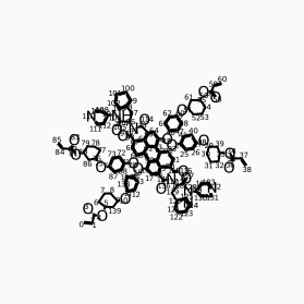 C=CC(=O)OC1CCCC(Oc2ccc(Oc3cc4c5c(cc(Oc6ccc(OC7CCCC(OC(=O)C=C)C7)cc6)c6c7c(Oc8ccc(OC9CCCC(OC(=O)C=C)C9)cc8)cc8c9c(cc(Oc%10ccc(OC%11CCCC(OC(=O)C=C)C%11)cc%10)c(c3c56)c97)C(=O)N(C(Cc3ccccc3)C(=O)Nc3ccncc3)C8=O)C(=O)N(C(Cc3ccccc3)C(=O)Nc3ccncc3)C4=O)cc2)C1